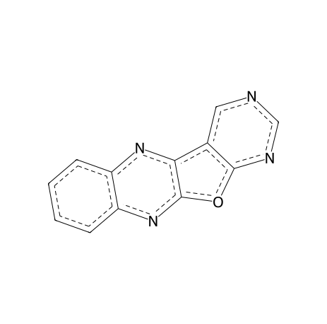 c1ccc2nc3c(nc2c1)oc1ncncc13